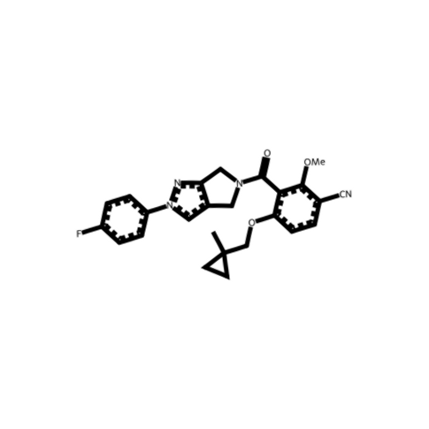 COc1c(C#N)ccc(OCC2(C)CC2)c1C(=O)N1Cc2cn(-c3ccc(F)cc3)nc2C1